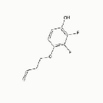 C=CCCOc1ccc(O)c(F)c1F